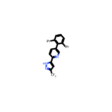 CC(C)c1cccc(C(C)C)c1-c1ccc(-c2cc(C(F)(F)F)n[nH]2)nc1